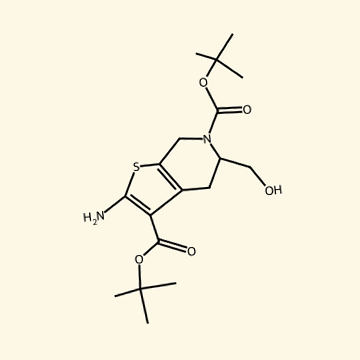 CC(C)(C)OC(=O)c1c(N)sc2c1CC(CO)N(C(=O)OC(C)(C)C)C2